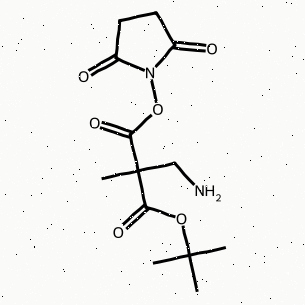 CC(C)(C)OC(=O)C(C)(CN)C(=O)ON1C(=O)CCC1=O